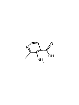 Cc1nccc(C(=O)O)c1N